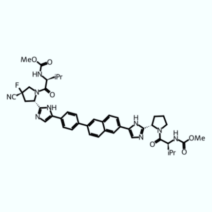 COC(=O)N[C@H](C(=O)N1CCC[C@H]1c1ncc(-c2ccc3cc(-c4ccc(-c5cnc([C@@H]6C[C@@](F)(C#N)CN6C(=O)[C@@H](NC(=O)OC)C(C)C)[nH]5)cc4)ccc3c2)[nH]1)C(C)C